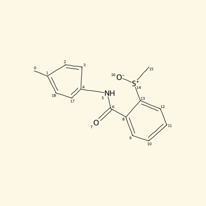 Cc1ccc(NC(=O)c2ccccc2[S+](C)[O-])cc1